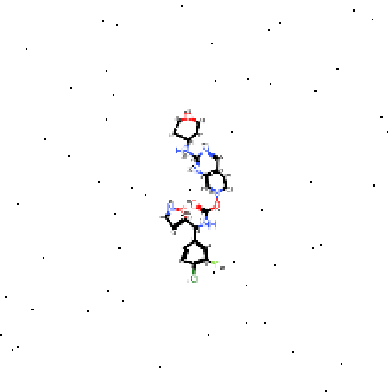 O=C(NC(c1ccc(Cl)c(F)c1)c1ccno1)ON1CCc2cnc(NC3CCOCC3)nc2C1